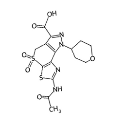 CC(=O)Nc1nc2c(s1)S(=O)(=O)Cc1c(C(=O)O)nn(C3CCOCC3)c1-2